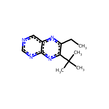 CCc1nc2cncnc2nc1C(C)(C)C